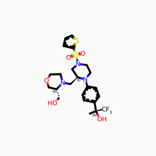 C[C@@](O)(c1ccc(N2CCN(S(=O)(=O)c3cccs3)C[C@@H]2CN2CCOC[C@H]2CO)cc1)C(F)(F)F